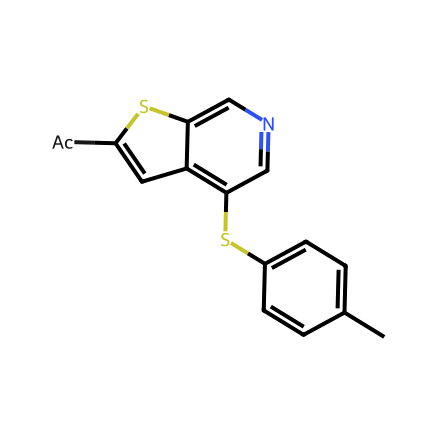 CC(=O)c1cc2c(Sc3ccc(C)cc3)cncc2s1